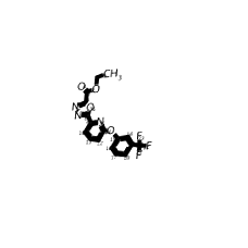 CCOC(=O)c1nnc(-c2cccc(Oc3cccc(C(F)(F)F)c3)n2)o1